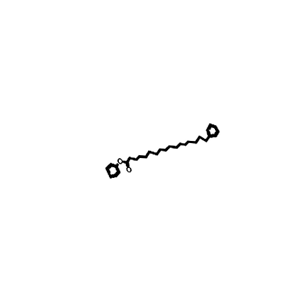 O=C(CCCCCCCCCCCCCCCCc1ccccc1)Oc1ccccc1